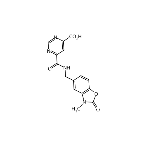 Cn1c(=O)oc2ccc(CNC(=O)c3cc(C(=O)O)ncn3)cc21